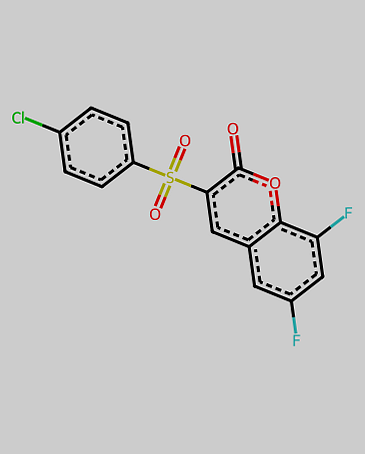 O=c1oc2c(F)cc(F)cc2cc1S(=O)(=O)c1ccc(Cl)cc1